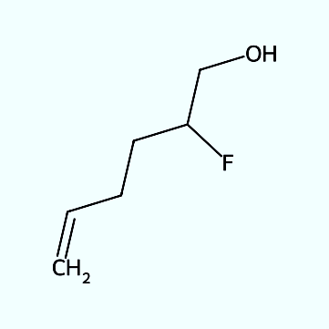 C=CCCC(F)CO